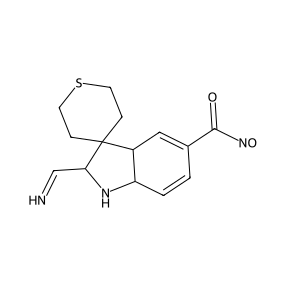 N=CC1NC2C=CC(C(=O)N=O)=CC2C12CCSCC2